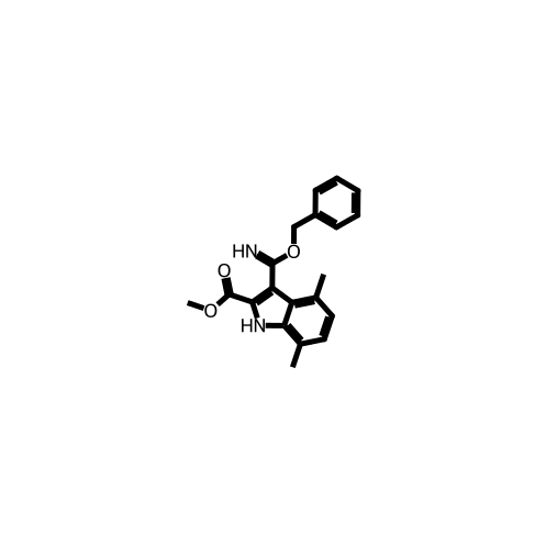 COC(=O)c1[nH]c2c(C)ccc(C)c2c1C(=N)OCc1ccccc1